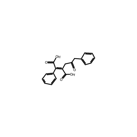 O=C(CC(C(=O)O)=C(C(=O)O)c1ccccc1)Cc1ccccc1